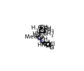 CO/C(=C/C(C)=C/c1cc2cc(Cl)c(Cl)cc2[nH]1)C(=O)NC1CC(C)(C)N(C)C(C)(C)C1